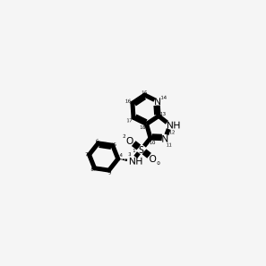 O=S(=O)(N[C@H]1C=CCCC1)c1n[nH]c2ncccc12